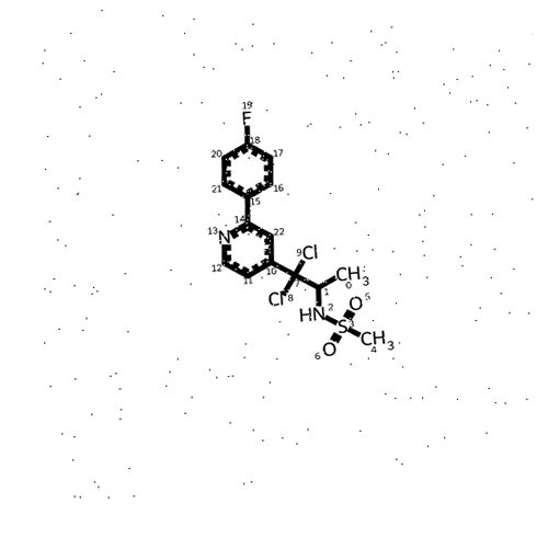 CC(NS(C)(=O)=O)C(Cl)(Cl)c1ccnc(-c2ccc(F)cc2)c1